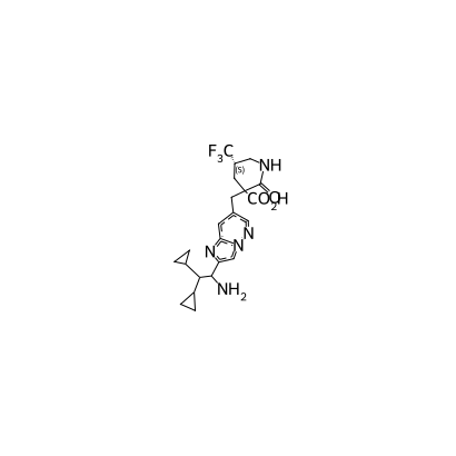 NC(c1cn2ncc(CC3(C(=O)O)C[C@H](C(F)(F)F)CNC3=O)cc2n1)C(C1CC1)C1CC1